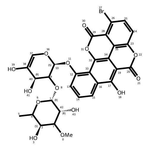 COC1[C@@H](O)C(C)O[C@H](OC2[C@H](Oc3cccc4c(O)c5c(=O)oc6ccc(Br)c7c(=O)oc(c34)c5c67)OC=C(O)[C@@H]2O)[C@@H]1O